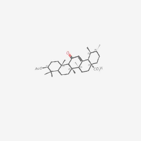 CC(=O)O[C@H]1CC[C@@]2(C)C(CC[C@]3(C)C2C(=O)C=C2C4[C@@H](C)[C@H](C)CC[C@]4(C(=O)O)CC[C@]23C)C1(C)C